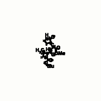 COC(=O)[C@H](C[C@@H]1CCNC1=O)NC(=O)[C@@H]1[C@@H](C)CN1C(=O)OC(C)(C)C